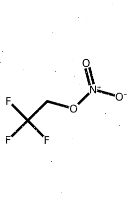 O=[N+]([O-])OCC(F)(F)F